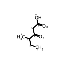 CCC(C)C(=O)CC(=O)O